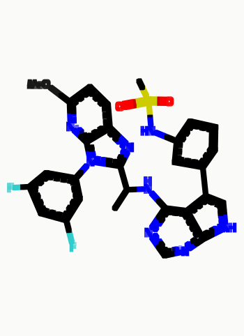 COc1ccc2nc(C(C)Nc3ncnc4[nH]cc(-c5cccc(NS(C)(=O)=O)c5)c34)n(-c3cc(F)cc(F)c3)c2n1